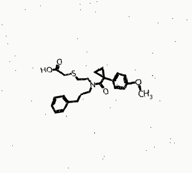 COc1ccc(C2(C(=O)N(CCCc3ccccc3)CCSCC(=O)O)CC2)cc1